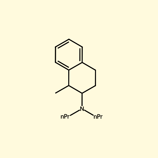 CCCN(CCC)C1CCc2ccccc2C1C